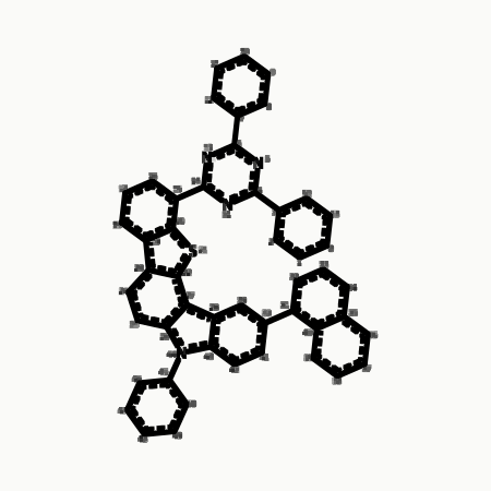 c1ccc(-c2nc(-c3ccccc3)nc(-c3cccc4c3sc3c4ccc4c3c3cc(-c5cccc6ccccc56)ccc3n4-c3ccccc3)n2)cc1